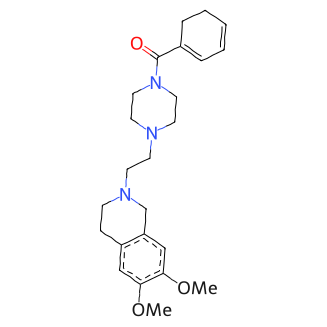 COc1cc2c(cc1OC)CN(CCN1CCN(C(=O)C3=CC=CCC3)CC1)CC2